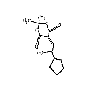 CC1(C)OC(=O)C(=CC(O)C2CCCC2)C(=O)O1